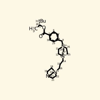 C[C@@H](OC(=O)c1ccc(C[N+]23CC[N+](CCC[N+]45CCN(CC4)CC5)(CC2)CC3)cc1)C(C)(C)C